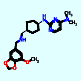 COc1cc(CNC[C@H]2CC[C@@H](Nc3nccc(N(C)C)n3)CC2)cc2c1OCO2